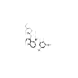 CCC1CN2CCC1CC2[C@H](NC(=S)Nc1cc(C(F)(F)F)cc(C(F)(F)F)c1)c1ccnc2ccccc12